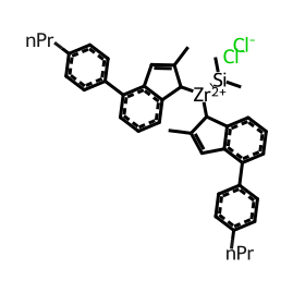 CCCc1ccc(-c2cccc3c2C=C(C)[CH]3[Zr+2]([CH]2C(C)=Cc3c(-c4ccc(CCC)cc4)cccc32)=[Si](C)C)cc1.[Cl-].[Cl-]